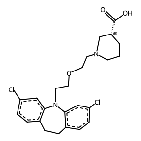 O=C(O)[C@@H]1CCCN(CCOCCN2c3cc(Cl)ccc3CCc3ccc(Cl)cc32)C1